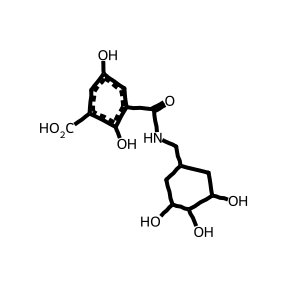 O=C(O)c1cc(O)cc(C(=O)NCC2CC(O)C(O)C(O)C2)c1O